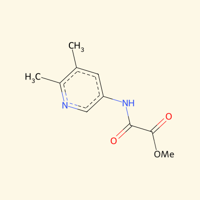 COC(=O)C(=O)Nc1cnc(C)c(C)c1